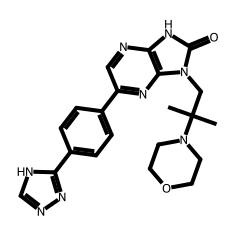 CC(C)(Cn1c(=O)[nH]c2ncc(-c3ccc(-c4nnc[nH]4)cc3)nc21)N1CCOCC1